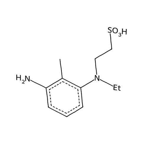 CCN(CCS(=O)(=O)O)c1cccc(N)c1C